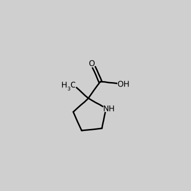 CC1(C(=O)O)CCCN1